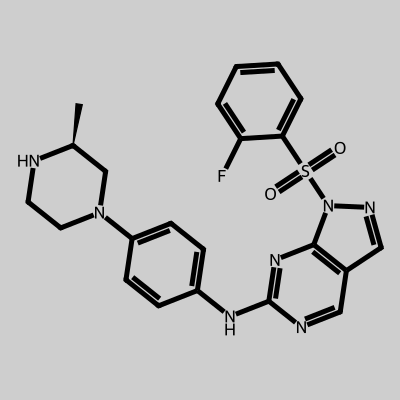 C[C@H]1CN(c2ccc(Nc3ncc4cnn(S(=O)(=O)c5ccccc5F)c4n3)cc2)CCN1